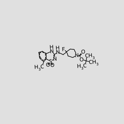 Cc1cccc2c1S(=O)(=O)N=C(NCC1(F)CCN(C(=O)OC(C)(C)C)CC1)N2